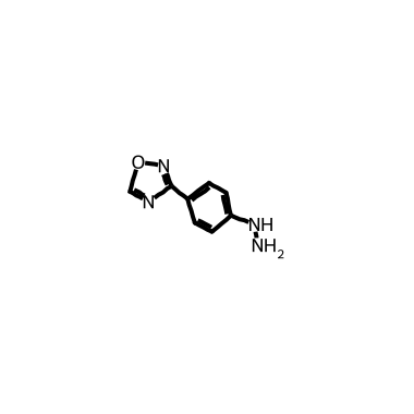 NNc1ccc(-c2ncon2)cc1